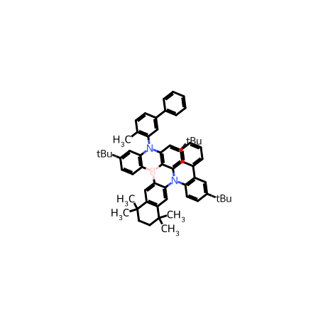 Cc1ccc(-c2ccccc2)cc1N1c2cc(C(C)(C)C)ccc2B2c3cc4c(cc3N(c3ccc(C(C)(C)C)cc3-c3ccccc3)c3cc(C(C)(C)C)cc1c32)C(C)(C)CCC4(C)C